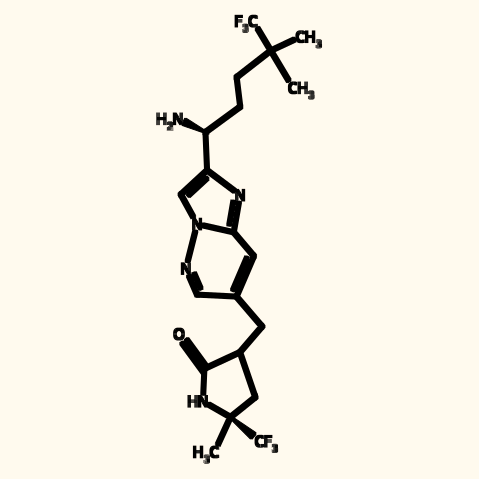 CC(C)(CC[C@H](N)c1cn2ncc(CC3C[C@@](C)(C(F)(F)F)NC3=O)cc2n1)C(F)(F)F